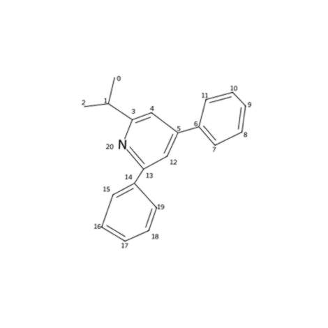 CC(C)c1cc(-c2ccccc2)cc(-c2ccccc2)n1